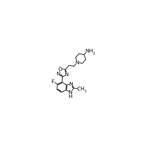 Cc1nc2c(-c3noc(CCN4CCC(N)CC4)n3)c(F)ccc2[nH]1